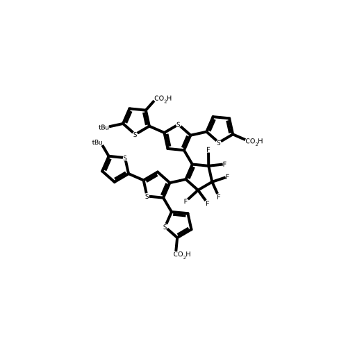 CC(C)(C)c1ccc(-c2cc(C3=C(c4cc(-c5sc(C(C)(C)C)cc5C(=O)O)sc4-c4ccc(C(=O)O)s4)C(F)(F)C(F)(F)C3(F)F)c(-c3ccc(C(=O)O)s3)s2)s1